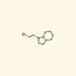 CCC=Cn1ccc2ccccc21